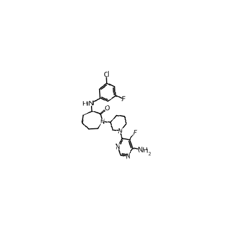 Nc1ncnc(N2CCCC(N3CCCCC(Nc4cc(F)cc(Cl)c4)C3=O)C2)c1F